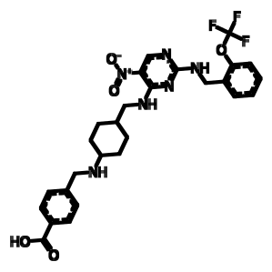 O=C(O)c1ccc(CNC2CCC(CNc3nc(NCc4ccccc4OC(F)(F)F)ncc3[N+](=O)[O-])CC2)cc1